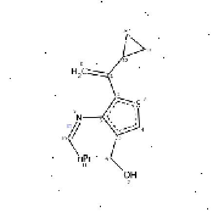 C=C(c1scc(CO)c1/N=C\CCC)C1CC1